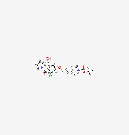 CC(C)(C)OC(=O)N1CCC(CCCOc2ccc(C(=O)N3CCC[C@@H]3CO)c(F)c2)CC1